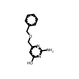 Nc1nc(O)cc(COCc2ccccc2)n1